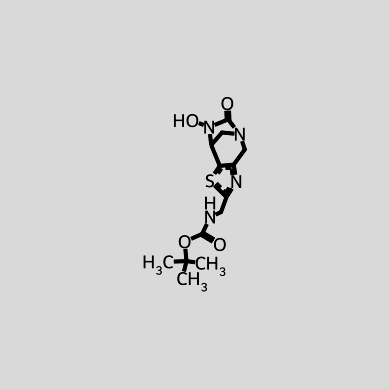 CC(C)(C)OC(=O)NCc1nc2c(s1)C1CN(C2)C(=O)N1O